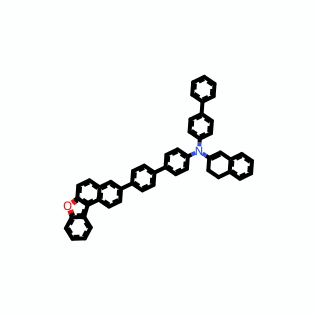 C1=C(N(c2ccc(-c3ccccc3)cc2)c2ccc(-c3ccc(-c4ccc5c(ccc6oc7ccccc7c65)c4)cc3)cc2)CCc2ccccc21